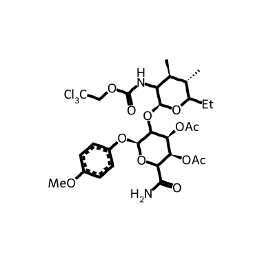 CCC1O[C@@H](OC2[C@H](Oc3ccc(OC)cc3)OC(C(N)=O)[C@H](OC(C)=O)[C@@H]2OC(C)=O)C(NC(=O)OCC(Cl)(Cl)Cl)[C@@H](C)[C@@H]1C